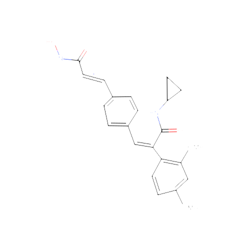 COc1ccc(C(=Cc2ccc(/C=C/C(=O)NO)cc2)C(=O)NC2CC2)c(OC)c1